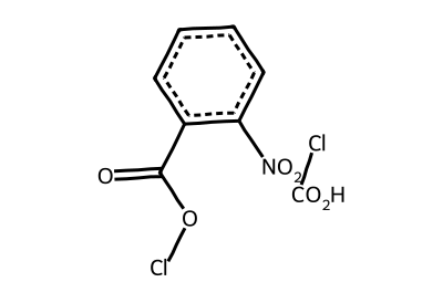 O=C(O)Cl.O=C(OCl)c1ccccc1[N+](=O)[O-]